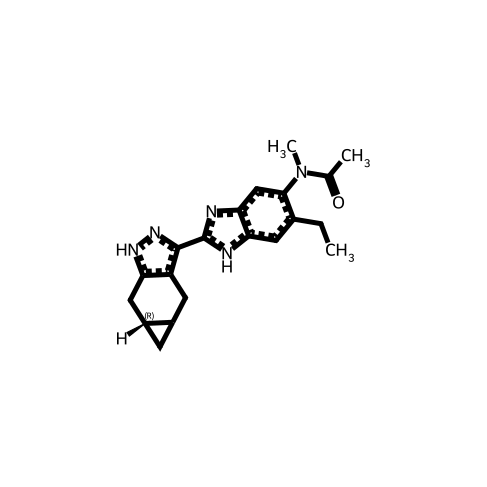 CCc1cc2[nH]c(-c3n[nH]c4c3CC3C[C@@H]3C4)nc2cc1N(C)C(C)=O